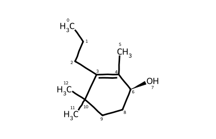 CCCC1=C(C)[C@@H](O)CCC1(C)C